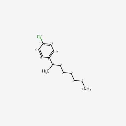 CCCCCCC(C)c1ccc(Cl)cc1